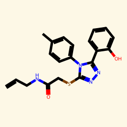 C=CCNC(=O)CSc1nnc(-c2ccccc2O)n1-c1ccc(C)cc1